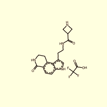 O=C(O)C(F)(F)F.O=C1NCCc2c1ccc1[nH]cc(CCNC(=O)C3CNC3)c21